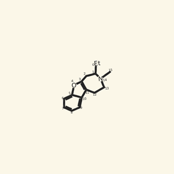 CCC1Cc2oc3ccccc3c2CCN1C